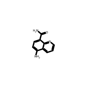 NC(=O)c1ccc(N)c2cccnc12